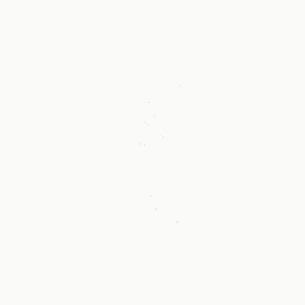 CC(C)(C)OC(=O)N1CCc2cc(Nc3ncc4cc(C#N)c(=O)n(C5CCC5)c4n3)ccc2C1